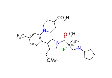 COCC1CN(C(=O)[C@]2(F)CN(C3CCCC3)C[C@H]2C)CC1c1ccc(C(F)(F)F)cc1N1CCC(C(=O)O)CC1